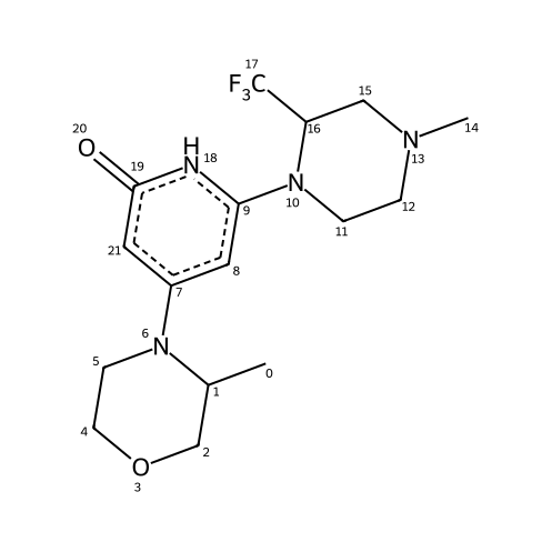 CC1COCCN1c1cc(N2CCN(C)CC2C(F)(F)F)[nH]c(=O)c1